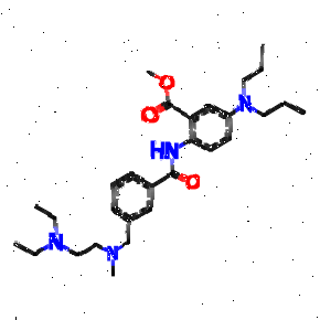 CCCN(CCC)c1ccc(NC(=O)c2cccc(CN(C)CCN(CC)CC)c2)c(C(=O)OC)c1